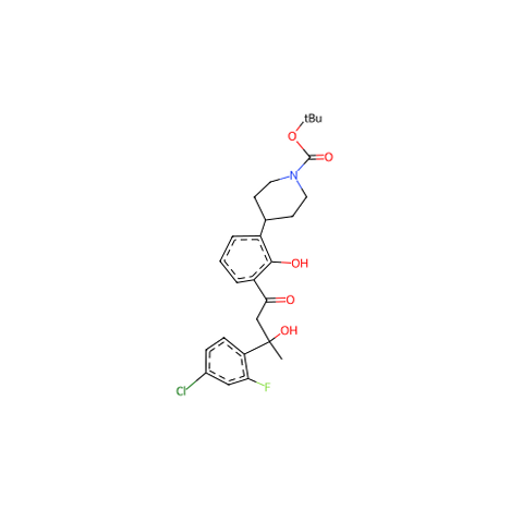 CC(C)(C)OC(=O)N1CCC(c2cccc(C(=O)CC(C)(O)c3ccc(Cl)cc3F)c2O)CC1